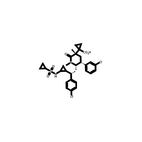 CN1C(=O)[C@](C)(C2(C(=O)O)CC2)C[C@H](c2cccc(Cl)c2)[C@@H]1C[C@H](c1ccc(Cl)cc1)C1CC1NS(=O)(=O)C1CC1